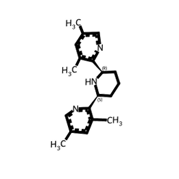 Cc1cnc([C@@H]2CCC[C@H](c3ncc(C)cc3C)N2)c(C)c1